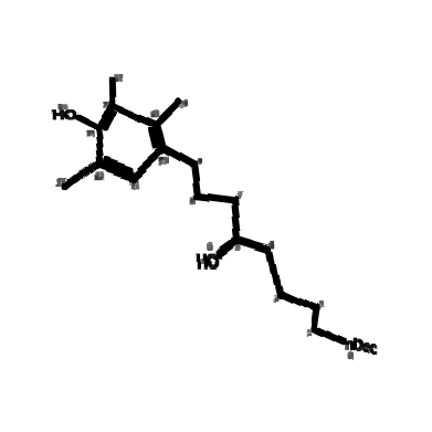 CCCCCCCCCCCCCCC(O)CCCc1cc(C)c(O)c(C)c1C